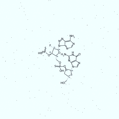 Nc1nc2c(ncn2[C@@H]2S[C@H](CO)C[C@H]2OP(O)(=S)OC[C@H]2O[C@@H](n3nnc4c(N)ncnc43)[C@@H](F)[C@@H]2O[PH](O)=S)c(=O)[nH]1